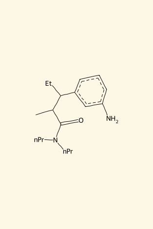 CCCN(CCC)C(=O)C(C)C(CC)c1cccc(N)c1